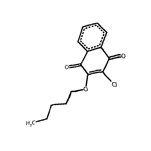 CCCCCOC1=C(Cl)C(=O)c2ccccc2C1=O